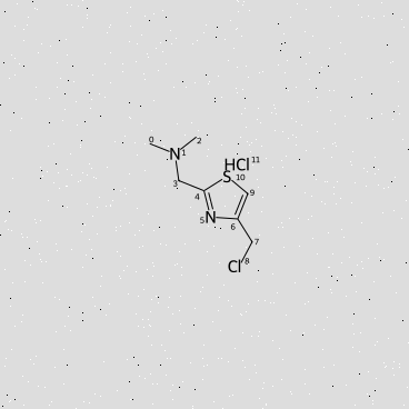 CN(C)Cc1nc(CCl)cs1.Cl